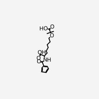 CC(C)(OCCCCCCC(NC(=O)c1ccccc1)C(=O)O)C(=O)O